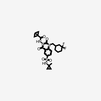 CC1(NS(=O)(=O)c2ccc3c(c2)c(=O)n(NC(=O)C24CC2C4)c(=O)n3CC2CCCC(F)(F)C2)CC1